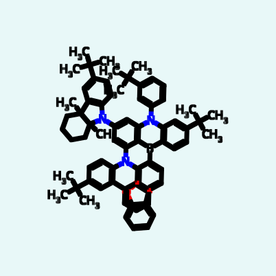 CC(C)(C)c1cccc(N2c3cc(C(C)(C)C)ccc3B3c4ccc5c(oc6ccccc65)c4N(c4ccc(C(C)(C)C)cc4-c4ccccc4)c4cc(N5c6ccc(C(C)(C)C)cc6C6(C)CCCCC56C)cc2c43)c1